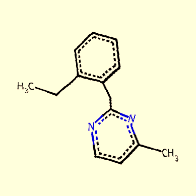 CCc1ccccc1-c1nccc(C)n1